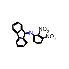 O=[N+]([O-])c1cccc(N=C2c3ccccc3-c3ccccc32)c1[N+](=O)[O-]